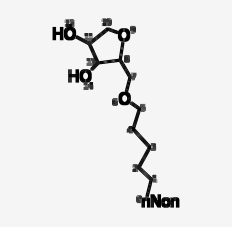 CCCCCCCCCCCCCCOCC1OCC(O)C1O